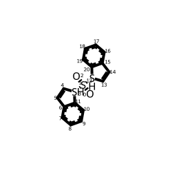 O=S(=O)([SH]1C=Cc2ccccc21)[SH]1C=Cc2ccccc21